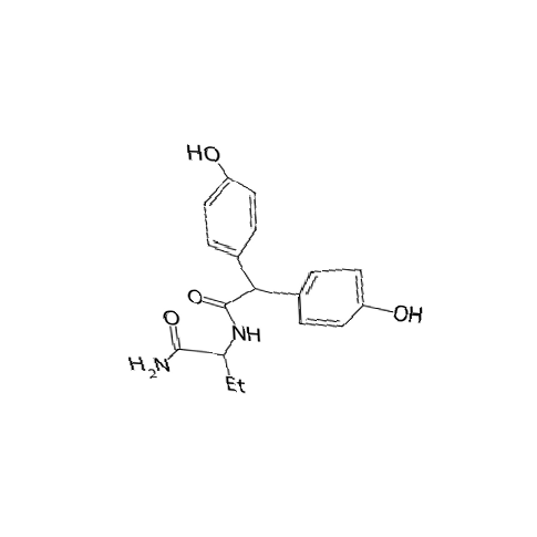 CCC(NC(=O)C(c1ccc(O)cc1)c1ccc(O)cc1)C(N)=O